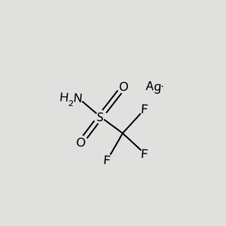 NS(=O)(=O)C(F)(F)F.[Ag]